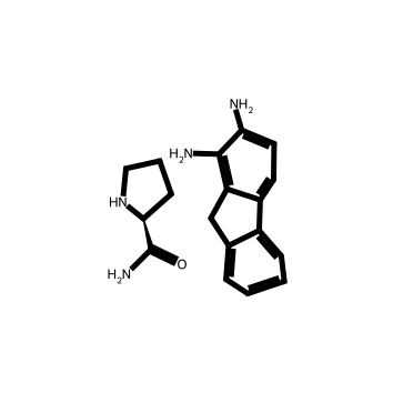 NC(=O)[C@@H]1CCCN1.Nc1ccc2c(c1N)Cc1ccccc1-2